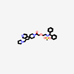 CS(=O)(=O)N(CCOCC(=O)N1CCC(CCCN2CCCC2)(c2ccncc2)CC1)C(c1ccccc1)c1ccccc1